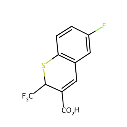 O=C(O)C1=Cc2cc(F)ccc2SC1C(F)(F)F